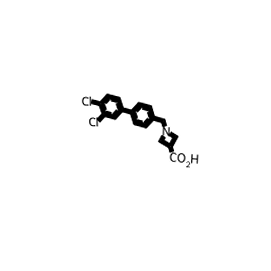 O=C(O)C1CN(Cc2ccc(-c3ccc(Cl)c(Cl)c3)cc2)C1